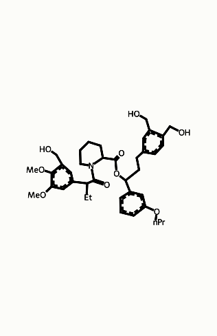 CCCOc1cccc(C(CCc2ccc(CO)c(CO)c2)OC(=O)C2CCCCN2C(=O)C(CC)c2cc(CO)c(OC)c(OC)c2)c1